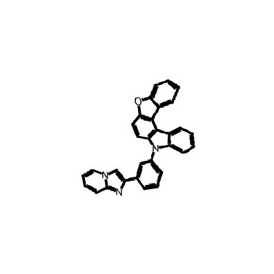 c1cc(-c2cn3ccccc3n2)cc(-n2c3ccccc3c3c4c(ccc32)oc2ccccc24)c1